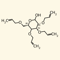 C=CCOC[C@H]1OC(O)[C@H](OCC=C)[C@@H](OCC=C)C1OCC=C